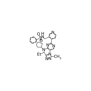 CCC1c2nnc(C)n2-c2cnc(-c3ccncc3CNS(=O)(=O)c3ccccc3)nc2N1C1CCCC1